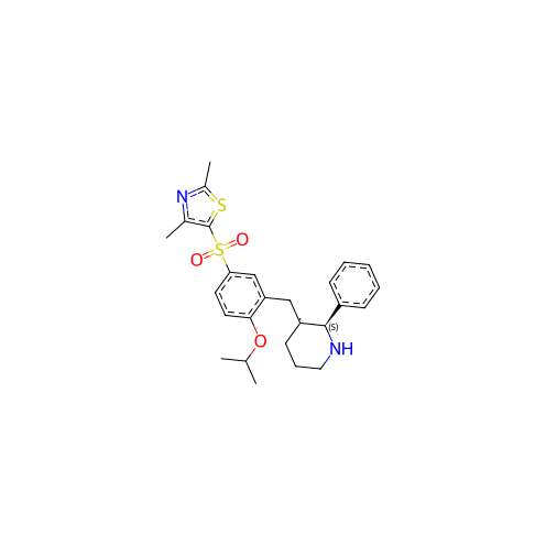 Cc1nc(C)c(S(=O)(=O)c2ccc(OC(C)C)c(C[C]3CCCN[C@@H]3c3ccccc3)c2)s1